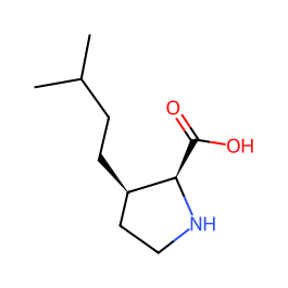 CC(C)CC[C@@H]1CCN[C@@H]1C(=O)O